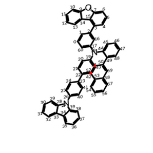 c1cc(-c2cccc3oc4ccccc4c23)cc(N(c2ccc(-c3ccc(-n4c5ccccc5c5ccccc54)cc3)cc2)c2ccccc2-c2ccc3ccccc3c2)c1